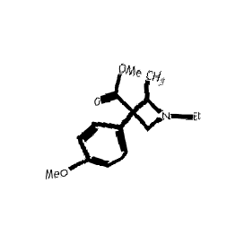 CCN1CC(C(=O)OC)(c2ccc(OC)cc2)C1C